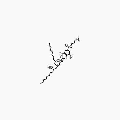 CCCCCCCCC(O)CN(CCCC(=O)Oc1c(OC)cc(C(=O)OCCCN(C)C)cc1OC)CC(O)CCCCCCCC